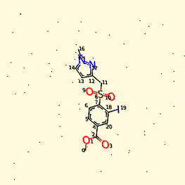 COC(=O)c1ccc(S(=O)(=O)Cc2ccn(C)n2)c(I)c1